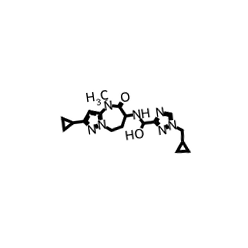 CN1C(=O)C(NC(O)c2ncn(CC3CC3)n2)CCn2nc(C3CC3)cc21